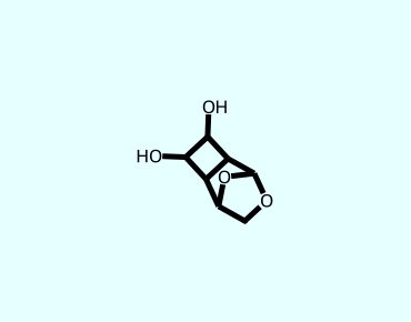 OC1C(O)C2C3OCC(O3)C12